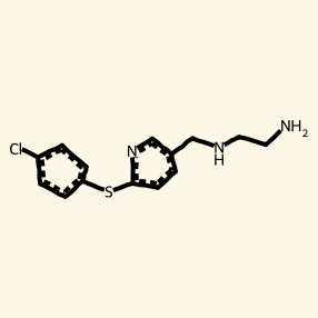 NCCNCc1ccc(Sc2ccc(Cl)cc2)nc1